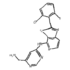 NCc1cc(Nc2nccc3nc(-c4c(F)cccc4Cl)sc23)ncn1